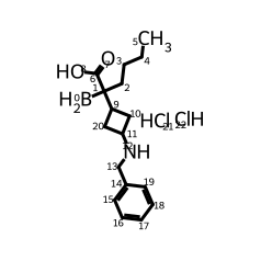 BC(CCCC)(C(=O)O)C1CC(NCc2ccccc2)C1.Cl.Cl